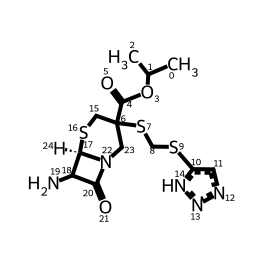 CC(C)OC(=O)C1(SCSc2cnn[nH]2)CS[C@@H]2C(N)C(=O)N2C1